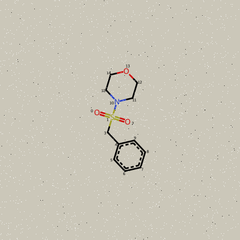 O=S(=O)(Cc1ccccc1)N1CCOCC1